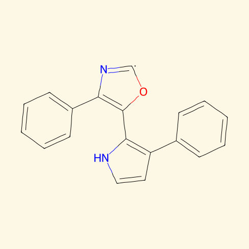 [c]1nc(-c2ccccc2)c(-c2[nH]ccc2-c2ccccc2)o1